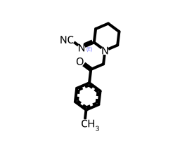 Cc1ccc(C(=O)CN2CCCC/C2=N\C#N)cc1